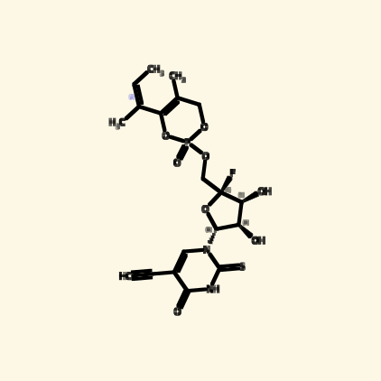 C#Cc1cn([C@@H]2O[C@](F)(COP3(=O)OCC(C)=C(/C(C)=C\C)O3)[C@@H](O)[C@H]2O)c(=S)[nH]c1=O